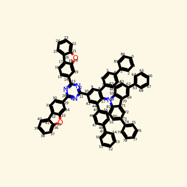 c1ccc(-c2ccc(-c3cc(-c4nc(-c5ccc6c(c5)oc5ccccc56)nc(-c5ccc6c(c5)oc5ccccc56)n4)cc(-c4ccc(-c5ccccc5)cc4)c3-n3c4ccc(-c5ccccc5)cc4c4cc(-c5ccccc5)ccc43)cc2)cc1